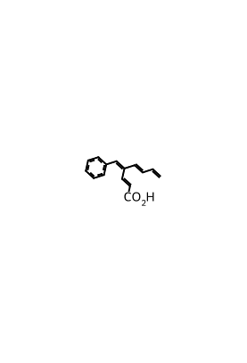 C=CC=CC(C=CC(=O)O)=Cc1ccccc1